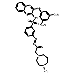 COc1cc(Nc2nc3ccccc3nc2NS(=O)(=O)c2cccc(N=NC(=O)CN3CCCN(C)CC3)c2)cc(OC)c1